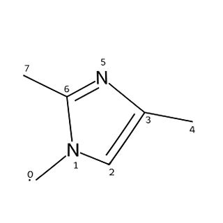 [CH2]n1cc(C)nc1C